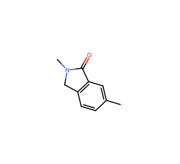 [CH2]c1ccc2c(c1)C(=O)N(C)C2